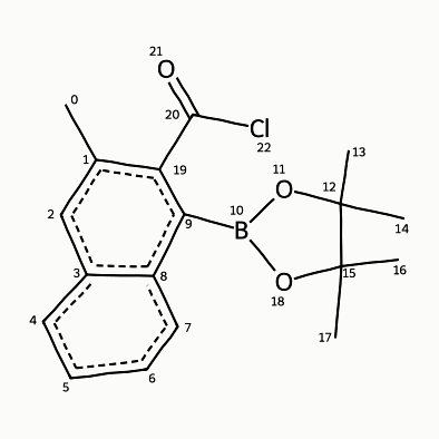 Cc1cc2ccccc2c(B2OC(C)(C)C(C)(C)O2)c1C(=O)Cl